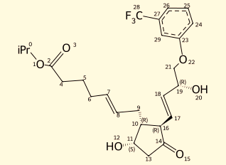 CC(C)OC(=O)CCCC=CC[C@H]1[C@@H](O)CC(=O)[C@@H]1C=C[C@@H](O)COc1cccc(C(F)(F)F)c1